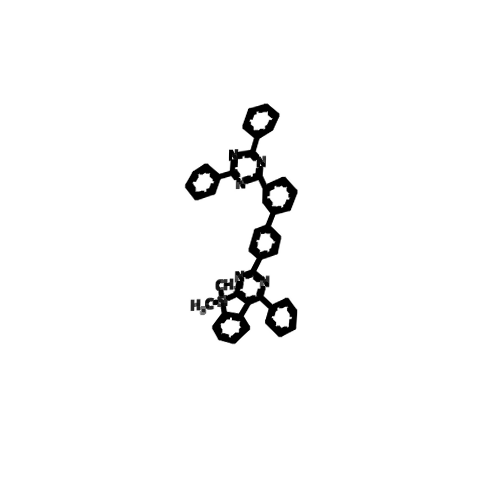 C[Si]1(C)c2ccccc2-c2c(-c3ccccc3)nc(-c3ccc(-c4cccc(-c5nc(-c6ccccc6)nc(-c6ccccc6)n5)c4)cc3)nc21